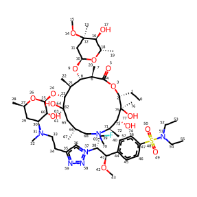 CC[C@H]1OC(=O)[C@H](C)[C@@H](O[C@H]2C[C@@](C)(OC)[C@@H](O)[C@H](C)O2)[C@H](C)[C@@H](O[C@@H]2O[C@H](C)C[C@H](N(C)CCc3cn([C@H](CF)[C@H](OC)c4ccc(S(=O)(=O)N(CC)CC)cc4)nn3)[C@H]2O)[C@](C)(O)C[C@@H](C)CN(C)[C@H](C)[C@@H](O)[C@]1(C)O